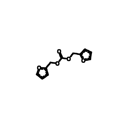 O=C(OCc1ccco1)OCc1ccco1